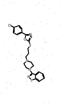 Clc1ccc(-c2nnc(SCCCN3CCN(c4nsc5ccccc45)CC3)o2)cc1